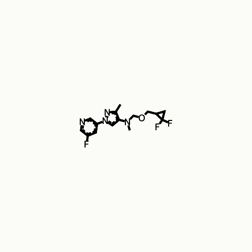 Cc1nn(-c2cncc(F)c2)cc1N(C)COCC1CC1(F)F